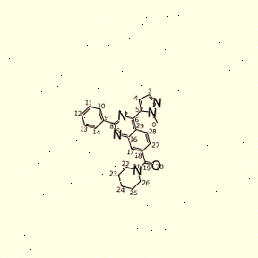 Cn1nccc1-c1nc(-c2ccccc2)nc2cc(C(=O)N3CCCCC3)ccc12